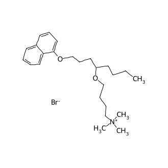 CCCCC(CCCOc1cccc2ccccc12)OCCCC[N+](C)(C)C.[Br-]